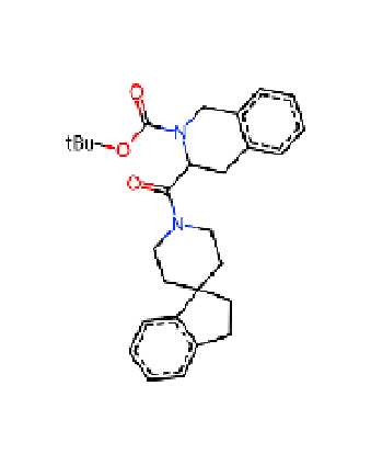 CC(C)(C)OC(=O)N1Cc2ccccc2CC1C(=O)N1CCC2(CCc3ccccc32)CC1